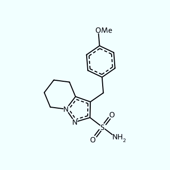 COc1ccc(Cc2c(S(N)(=O)=O)nn3c2CCCC3)cc1